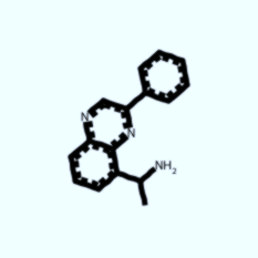 CC(N)c1cccc2ncc(-c3ccccc3)nc12